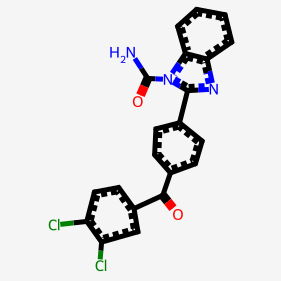 NC(=O)n1c(-c2ccc(C(=O)c3ccc(Cl)c(Cl)c3)cc2)nc2ccccc21